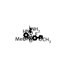 COc1ccc(NC(=O)[C@@H](N)I)cc1NS(=O)(=O)c1ccc(-c2ccc(C)o2)c(F)c1